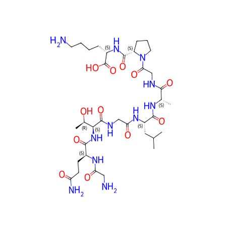 CC(C)C[C@H](NC(=O)CNC(=O)[C@@H](NC(=O)[C@H](CCC(N)=O)NC(=O)CN)[C@@H](C)O)C(=O)N[C@@H](C)C(=O)NCC(=O)N1CCC[C@H]1C(=O)N[C@@H](CCCCN)C(=O)O